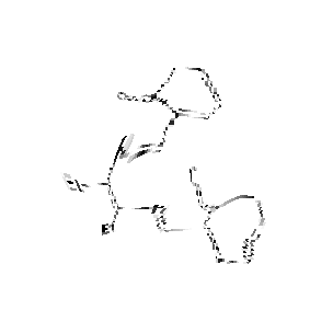 CCC(N=CC1=CC=CCC1=O)=C(CC)N=CC1=CC=CCC1=O